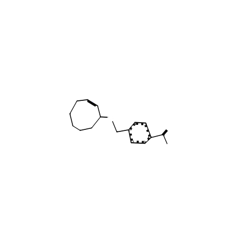 CC(=O)c1ccc(COC2/C=C\CCCCC2)cc1